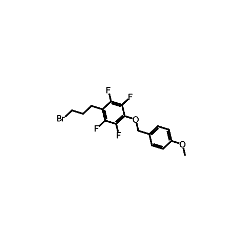 COc1ccc(COc2c(F)c(F)c(CCCBr)c(F)c2F)cc1